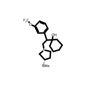 CN[C@H]1CCN(CC(c2cccc(OC(F)(F)F)c2)C2(O)CCCCC2)C1